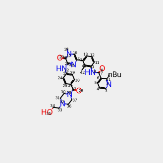 CCCCc1ncccc1C(=O)Nc1cccc(-c2cn(C)c(=O)c(Nc3ccc(C(=O)N4CCN(CCO)CC4)cc3)n2)c1C